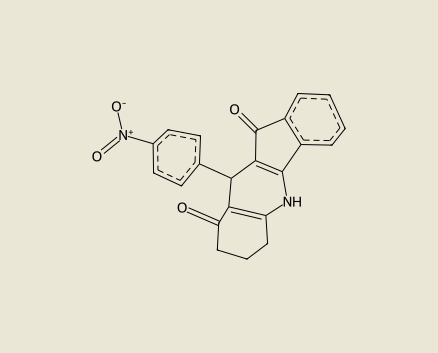 O=C1CCCC2=C1C(c1ccc([N+](=O)[O-])cc1)C1=C(N2)c2ccccc2C1=O